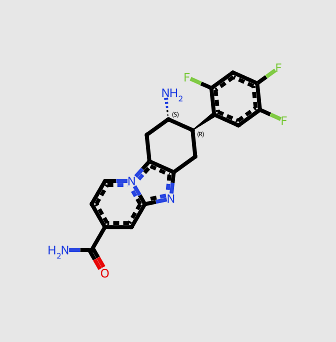 NC(=O)c1ccn2c3c(nc2c1)C[C@H](c1cc(F)c(F)cc1F)[C@@H](N)C3